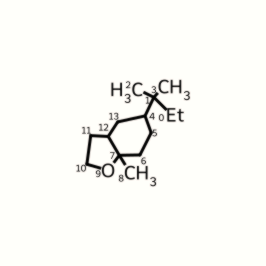 CCC(C)(C)C1CCC2(C)OCCC2C1